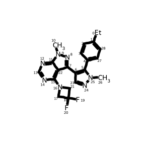 CCc1ccc(-c2c(-c3nn(C)c4ncnc(N5CC(F)(F)C5)c34)cnn2C)cc1